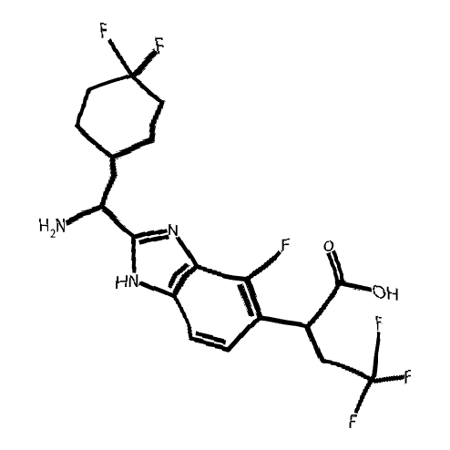 NC(c1nc2c(F)c(C(CC(F)(F)F)C(=O)O)ccc2[nH]1)C1CCC(F)(F)CC1